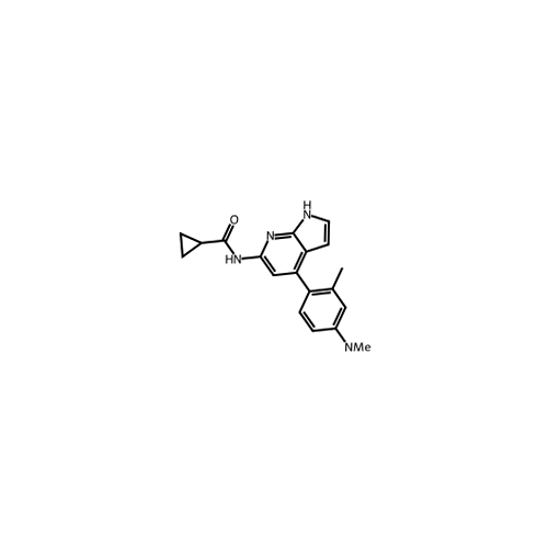 CNc1ccc(-c2cc(NC(=O)C3CC3)nc3[nH]ccc23)c(C)c1